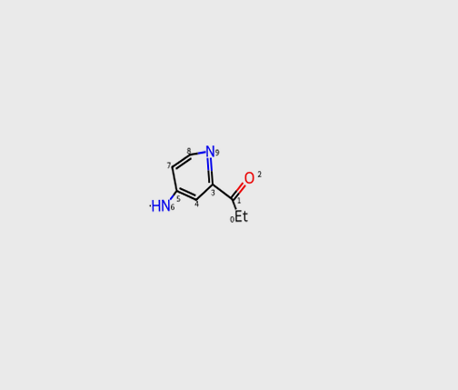 CCC(=O)c1cc([NH])ccn1